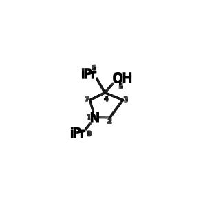 CC(C)N1CCC(O)(C(C)C)C1